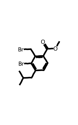 COC(=O)c1ccc(CC(C)C)c(Br)c1CBr